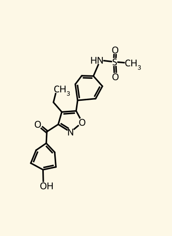 CCc1c(C(=O)c2ccc(O)cc2)noc1-c1ccc(NS(C)(=O)=O)cc1